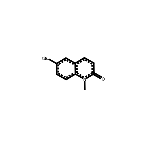 Cn1c(=O)ccc2cc(C(C)(C)C)ccc21